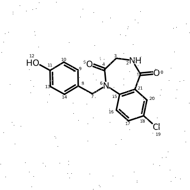 O=C1NCC(=O)N(Cc2ccc(O)cc2)c2ccc(Cl)cc21